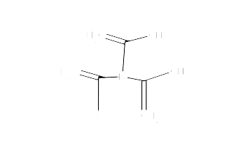 C=[C](C)[Bi]([C](=C)C)[C](=C)C